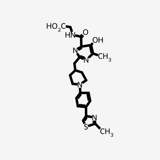 Cc1nc(-c2ccc(N3CCC(Cc4nc(C)c(O)c(C(=O)NCC(=O)O)n4)CC3)cc2)cs1